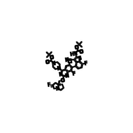 CC(C)(C)OC(=O)Nc1sc2c(F)ccc(-c3c(Cl)cc4c(N5CCN(C(=O)OC(C)(C)C)CC5)nc(OC[C@@]56CCCN5C[C@H](F)C6)nc4c3F)c2c1C#N